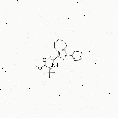 COC(=O)[C@@H](NC(=O)c1nc(-c2ccccc2)n2c1CCCCC2)C(C)(C)C